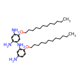 CCCCCCCCCCCCOc1ccc(N)cc1N.CCCCCCCCCCCCOc1ccc(N)cc1N